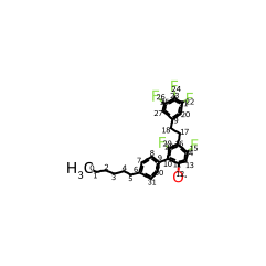 CCCCCCc1ccc(-c2c([O])cc(F)c(CCc3cc(F)c(F)c(F)c3)c2F)cc1